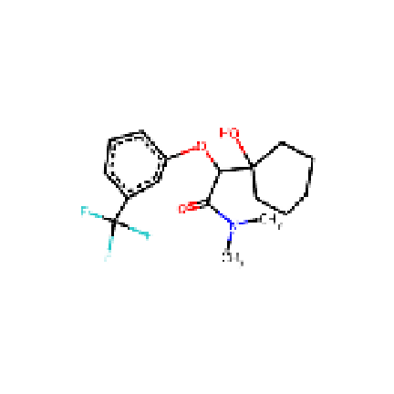 CN(C)C(=O)C(Oc1cccc(C(F)(F)F)c1)C1(O)CCCCC1